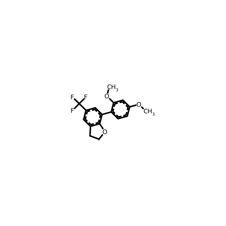 COc1ccc(-c2cc(C(F)(F)F)cc3c2O[CH]C3)c(OC)c1